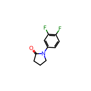 O=C1CCCN1c1ccc(F)c(F)c1